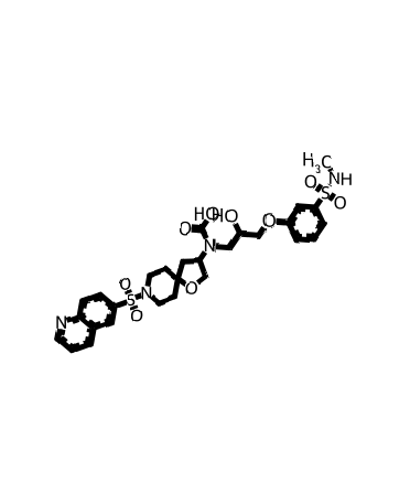 CNS(=O)(=O)c1cccc(OCC(O)CN(C(=O)O)C2COC3(CCN(S(=O)(=O)c4ccc5ncccc5c4)CC3)C2)c1